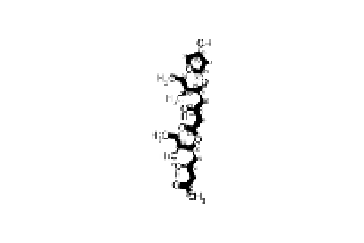 CC[C@H](C)[C@H](C[C@H](O)CC(C)=O)OC(=O)C[C@@H](O)C[C@H](O[C@H]1C[C@@H](O)CO1)[C@@H](C)CC